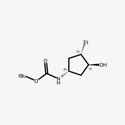 CC[C@H]1C[C@@H](NC(=O)OC(C)(C)C)C[C@@H]1O